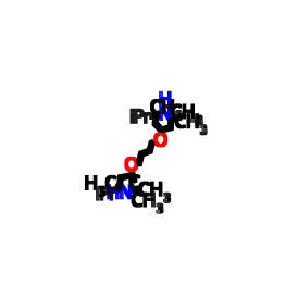 CC(C)C1(C)CC(OCCCCOC2CC(C)(C)NC(C)(C(C)C)C2)CC(C)(C)N1